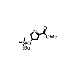 COC(=O)C1=NC[C@H](O[Si](C)(C)C(C)(C)C)C1